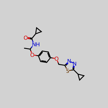 CC(NC(=O)C1CC1)Oc1ccc(OCc2nnc(C3CC3)s2)cc1